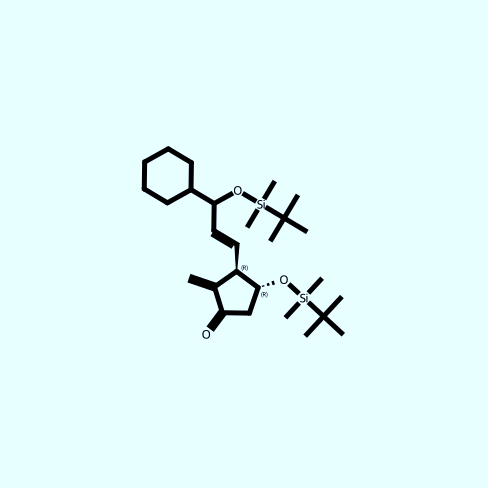 C=C1C(=O)C[C@@H](O[Si](C)(C)C(C)(C)C)[C@@H]1C=CC(O[Si](C)(C)C(C)(C)C)C1CCCCC1